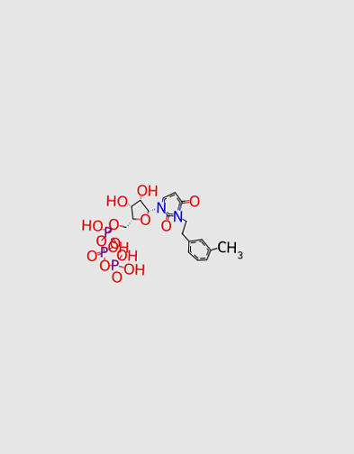 Cc1cccc(CCn2c(=O)ccn([C@@H]3O[C@H](COP(=O)(O)OP(=O)(O)OP(=O)(O)O)[C@H](O)[C@@H]3O)c2=O)c1